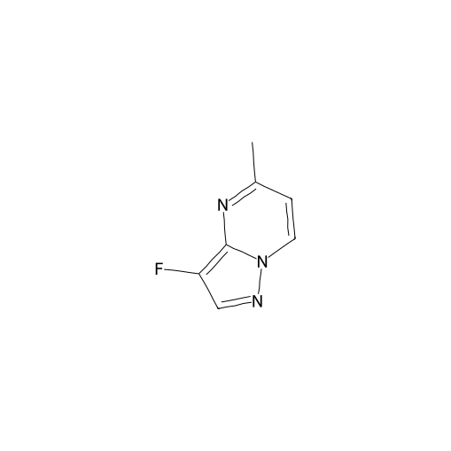 Cc1ccn2ncc(F)c2n1